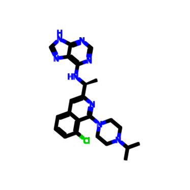 CC(C)N1CCN(c2nc([C@H](C)Nc3ncnc4[nH]cnc34)cc3cccc(Cl)c23)CC1